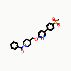 CS(=O)(=O)c1ccc(-c2ccc(OCC3CCN(C(=O)c4c[c]ccc4)CC3)nc2)cc1